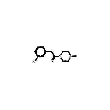 CN1CCN(C(=O)Cc2cccc(Cl)c2)CC1